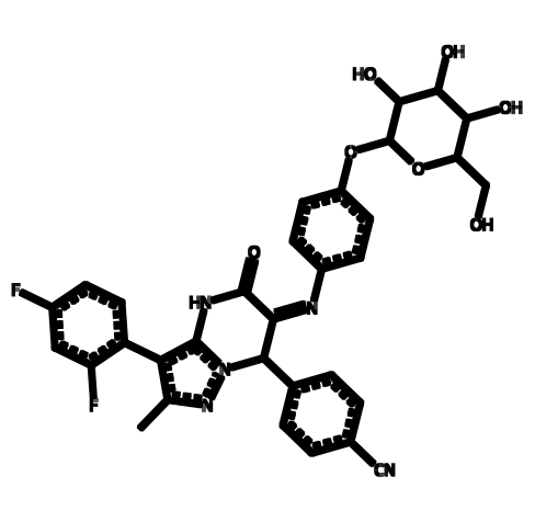 Cc1nn2c(c1-c1ccc(F)cc1F)NC(=O)/C(=N\c1ccc(OC3OC(CO)C(O)C(O)C3O)cc1)C2c1ccc(C#N)cc1